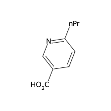 CCCc1ccc(C(=O)O)cn1